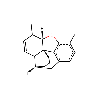 Cc1ccc2c3c1O[C@H]1C(C)C=CC4[C@H](CCC[C@@]341)C2